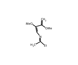 C=C(OC)/C(=C\N=C(/C)CC)OC